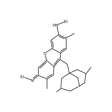 CCN=c1cc2oc3cc(NCC)c(C)cc3c(CC34CC(C)CC(CC(C)C3)C4)c-2cc1C